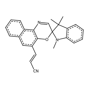 CN1c2ccccc2C(C)(C)C12C=Nc1c(c(C=CC#N)cc3ccccc13)O2